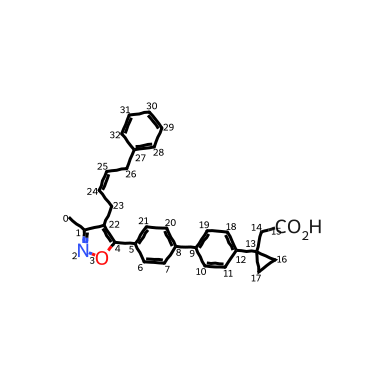 Cc1noc(-c2ccc(-c3ccc(C4(CC(=O)O)CC4)cc3)cc2)c1C/C=C\Cc1ccccc1